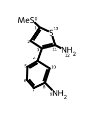 CSc1cc(-c2cccc(N)c2)c(N)s1